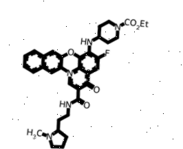 CCOC(=O)N1CCC(Nc2c(F)cc3c(=O)c(C(=O)NCCC4CCCN4C)cn4c3c2Oc2cc3ccccc3cc2-4)CC1